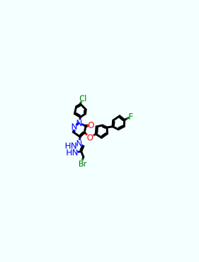 O=c1c(Oc2ccc(-c3ccc(F)cc3)cc2)c(N2C=C(CBr)NN2)cnn1-c1ccc(Cl)cc1